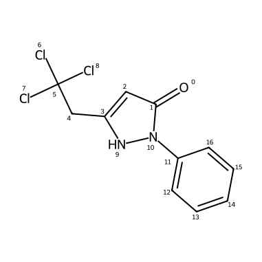 O=c1cc(CC(Cl)(Cl)Cl)[nH]n1-c1ccccc1